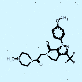 COc1ccc(-n2nc(C(F)(F)F)c3c2C(=O)N(CC(=O)N2CCN(C)CC2)CC3)cc1